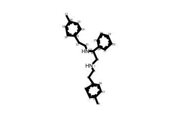 Cc1ccc(CCNCC(NCCc2ccc(C)cc2)c2ccccc2)cc1